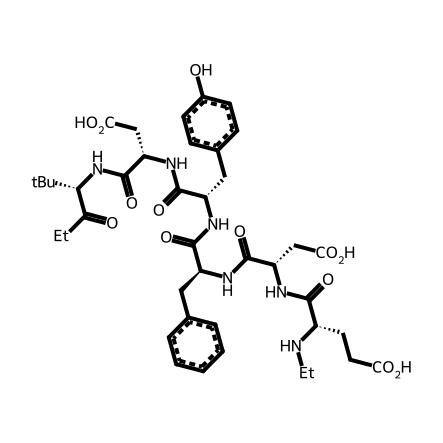 CCN[C@@H](CCC(=O)O)C(=O)N[C@@H](CC(=O)O)C(=O)N[C@@H](Cc1ccccc1)C(=O)N[C@@H](Cc1ccc(O)cc1)C(=O)N[C@@H](CC(=O)O)C(=O)N[C@H](C(=O)CC)C(C)(C)C